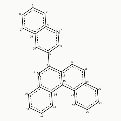 c1ccc2ncc(-c3nc4ccccc4c4c3ccc3ccccc34)cc2c1